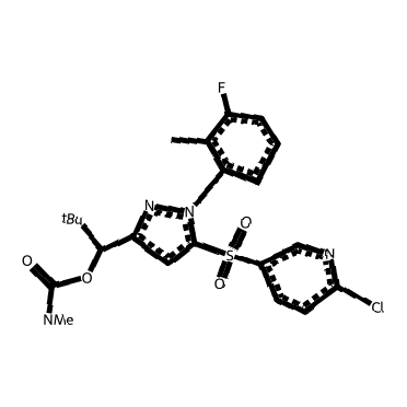 CNC(=O)OC(c1cc(S(=O)(=O)c2ccc(Cl)nc2)n(-c2cccc(F)c2C)n1)C(C)(C)C